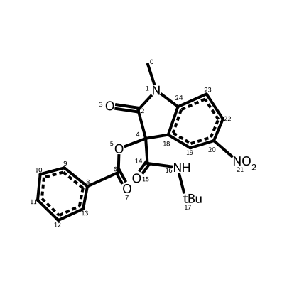 CN1C(=O)C(OC(=O)c2ccccc2)(C(=O)NC(C)(C)C)c2cc([N+](=O)[O-])ccc21